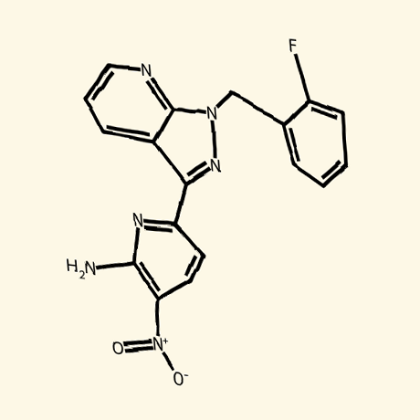 Nc1nc(-c2nn(Cc3ccccc3F)c3ncccc23)ccc1[N+](=O)[O-]